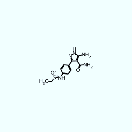 CC[S+]([O-])Nc1ccc(-c2n[nH]c(N)c2C(N)=O)cc1